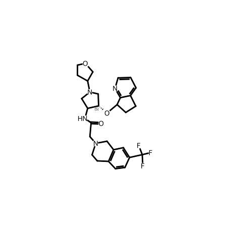 O=C(CN1CCc2ccc(C(F)(F)F)cc2C1)NC1CN(C2CCOC2)C[C@@H]1OC1CCc2cccnc21